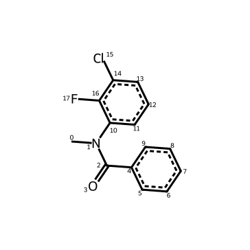 CN(C(=O)c1ccccc1)c1cccc(Cl)c1F